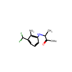 COC(=O)C(C)Nc1cccc(C(F)F)c1[N+](=O)[O-]